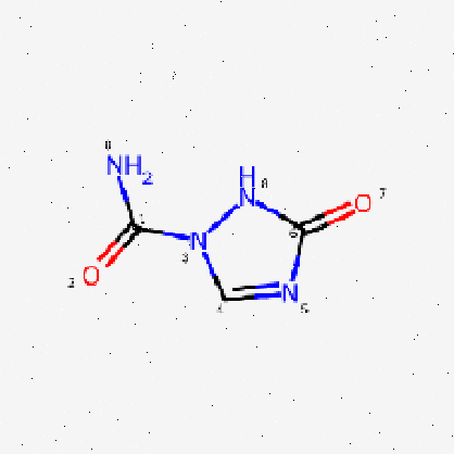 NC(=O)n1cnc(=O)[nH]1